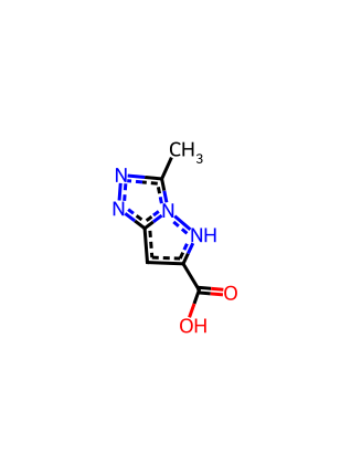 Cc1nnc2cc(C(=O)O)[nH]n12